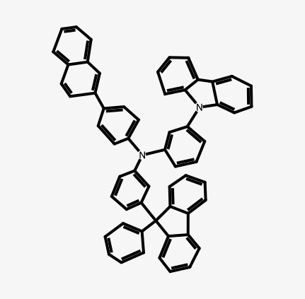 c1ccc(C2(c3cccc(N(c4ccc(-c5ccc6ccccc6c5)cc4)c4cccc(-n5c6ccccc6c6ccccc65)c4)c3)c3ccccc3-c3ccccc32)cc1